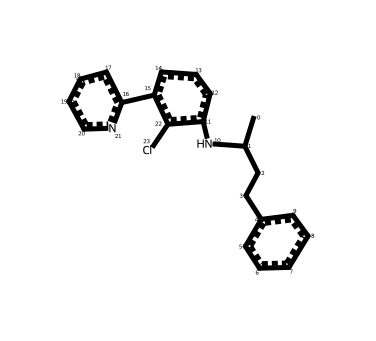 CC(CCc1ccccc1)Nc1cccc(-c2c[c]ccn2)c1Cl